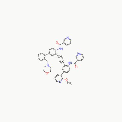 COc1ncccc1-c1ccc(NC(=O)c2cccnc2)c(C)c1.Cc1cc(-c2ccccc2CN2CCOCC2)ccc1NC(=O)c1cccnc1